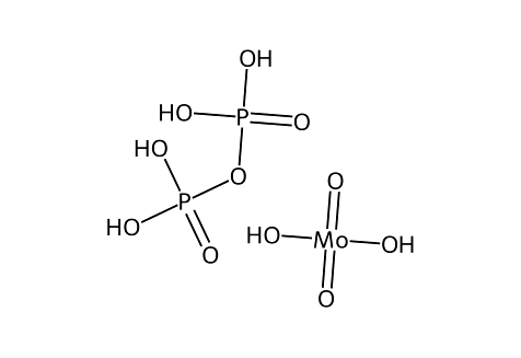 O=P(O)(O)OP(=O)(O)O.[O]=[Mo](=[O])([OH])[OH]